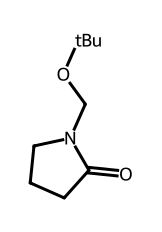 CC(C)(C)OCN1CCCC1=O